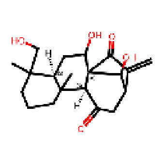 C=C1C(=O)[C@@]23C(O)C[C@@H]4C(C)(CO)CCCC4(C)[C@@H]2C(=O)CC1C3O